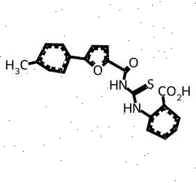 Cc1ccc(-c2ccc(C(=O)NC(=S)Nc3ccccc3C(=O)O)o2)cc1